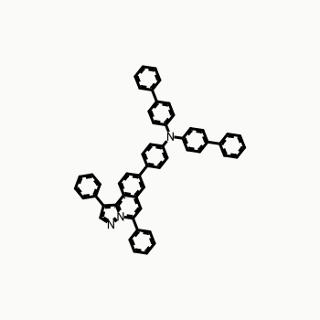 c1ccc(-c2ccc(N(c3ccc(-c4ccccc4)cc3)c3ccc(-c4ccc5c(c4)cc(-c4ccccc4)n4ncc(-c6ccccc6)c54)cc3)cc2)cc1